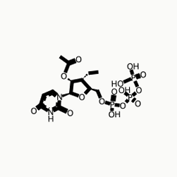 CC[C@H]1[C@@H](OC(C)=O)[C@H](n2ccc(=O)[nH]c2=O)O[C@@H]1COP(=O)(O)OP(=O)(O)OP(=O)(O)O